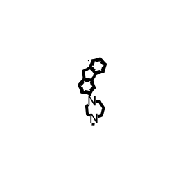 CN1CCCN(c2ccc3c(c2)-c2ccc[c]c2C3)CC1